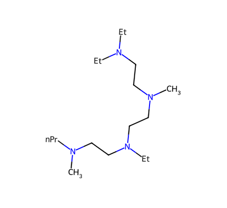 CCCN(C)CCN(CC)CCN(C)CCN(CC)CC